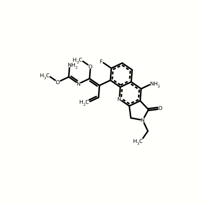 C=C/C(=C(\N=C(/N)OC)OC)c1c(F)ccc2c(N)c3c(nc12)CN(CC)C3=O